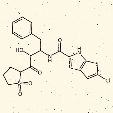 O=C(NC(Cc1ccccc1)C(O)C(=O)C1CCCS1(=O)=O)c1cc2cc(Cl)sc2[nH]1